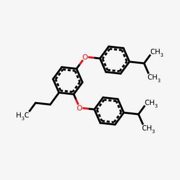 CCCc1ccc(Oc2ccc(C(C)C)cc2)cc1Oc1ccc(C(C)C)cc1